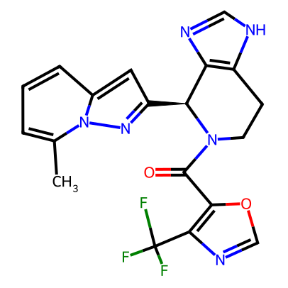 Cc1cccc2cc([C@H]3c4nc[nH]c4CCN3C(=O)c3ocnc3C(F)(F)F)nn12